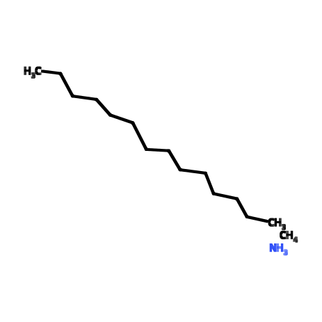 C.CCCCCCCCCCCCCC.N